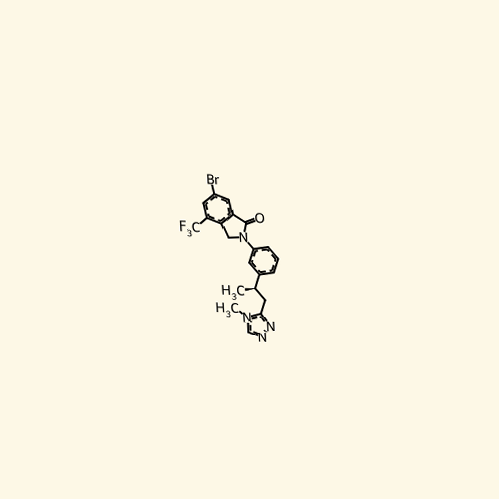 C[C@H](Cc1nncn1C)c1cccc(N2Cc3c(cc(Br)cc3C(F)(F)F)C2=O)c1